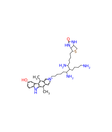 Cc1c2cc[n+](CCCCCC(N)C(CCCCN)C(N)CCCCC3SCC4NC(=O)NC43)cc2c(C)c2c1[nH]c1ccc(O)cc12